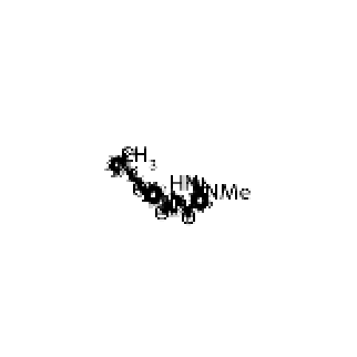 CNc1ccc(C(=O)N2CCN(c3ccc(OCCCN4CCCC4C)cc3)C(=O)C2)cc1N=N